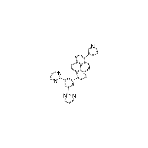 c1cnc(-c2cc(-c3ncccn3)cc(-c3ccc4ccc5c(-c6cccnc6)ccc6ccc3c4c65)c2)nc1